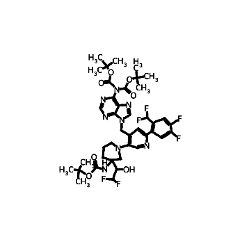 CC(C)(C)OC(=O)NC1(C(O)C(F)F)CCCN(c2cnc(-c3cc(F)c(F)cc3C(F)F)cc2Cn2cnc3c(N(C(=O)OC(C)(C)C)C(=O)OC(C)(C)C)ncnc32)C1